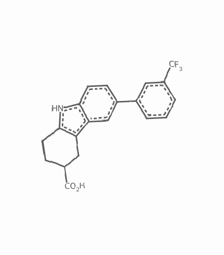 O=C(O)C1CCc2[nH]c3ccc(-c4cccc(C(F)(F)F)c4)cc3c2C1